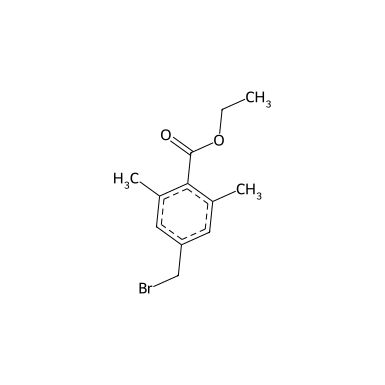 CCOC(=O)c1c(C)cc(CBr)cc1C